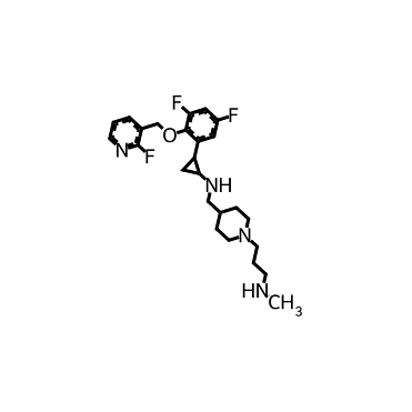 CNCCCN1CCC(CNC2CC2c2cc(F)cc(F)c2OCc2cccnc2F)CC1